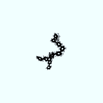 C1=CCCC(c2ccc3c(c2)c2cc(-c4ccccc4)ccc2c2ncc(-c4cccc(-c5cccc(-c6ccc(-c7cccc8c7sc7ccccc78)cc6)c5)c4)nc32)=C1